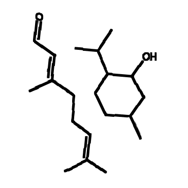 CC(C)=CCC/C(C)=C/C=O.CC1CCC(C(C)C)C(O)C1